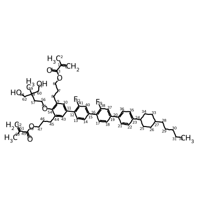 C=C(C)C(=O)OCCCc1cc(-c2ccc(-c3ccc(-c4ccc(C5CCC(CCCCC)CC5)cc4)cc3F)cc2F)cc(CCCOC(=O)C(=C)C)c1OCCC(C)(CO)CO